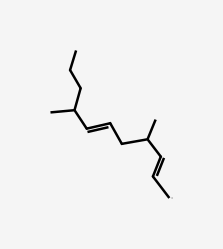 [CH2]C=CC(C)CC=CC(C)CCC